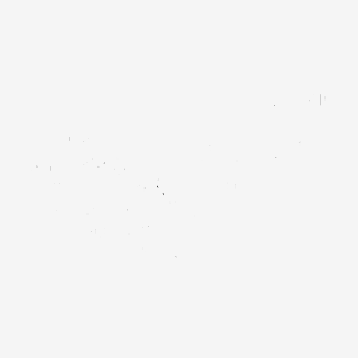 Cc1oc(-c2ccc(Cl)cc2)cc1CN1C(=O)C2(COc3cc4c(cc32)OCO4)c2ccccc21